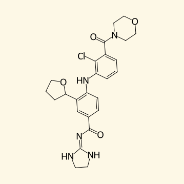 O=C(N=C1NCCN1)c1ccc(Nc2cccc(C(=O)N3CCOCC3)c2Cl)c(C2CCCO2)c1